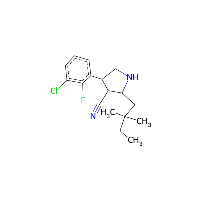 CCC(C)(C)CC1NCC(c2cccc(Cl)c2F)C1C#N